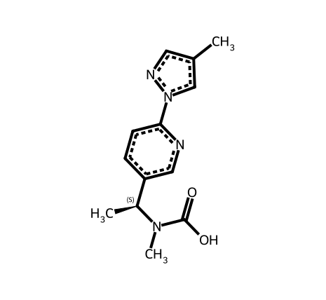 Cc1cnn(-c2ccc([C@H](C)N(C)C(=O)O)cn2)c1